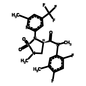 Cc1cc(C(F)(F)F)cc(N2[C@H](C(=O)N(C)c3cc(C)c(F)cc3F)CN(C)S2(=O)=O)n1